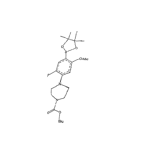 COc1cc(N2CCN(C(=O)OC(C)(C)C)CC2)c(F)cc1B1OC(C)(C)C(C)(C)O1